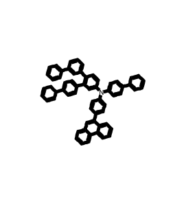 C1=CCC(c2ccc(-c3cc(N(c4ccc(-c5ccccc5)cc4)c4ccc(-c5cc6ccccc6c6ccccc56)cc4)ccc3-c3cccc(-c4ccccc4)c3)cc2)C=C1